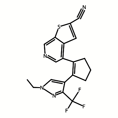 CCn1cc(C2=C(c3cncc4sc(C#N)cc34)CCC2)c(C(F)(F)F)n1